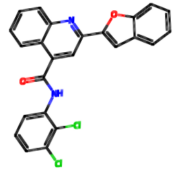 O=C(Nc1cccc(Cl)c1Cl)c1cc(-c2cc3ccccc3o2)nc2ccccc12